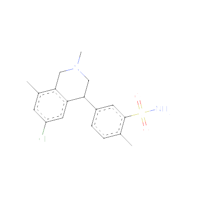 Cc1ccc(C2CN(C)Cc3c(C)cc(Cl)cc32)cc1S(N)(=O)=O